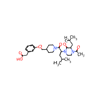 CC(=O)N1CCN(C(CC(C)C)C(=O)N2CCC(COc3cccc(CC(=O)O)c3)CC2)C(=O)C1CC(C)C